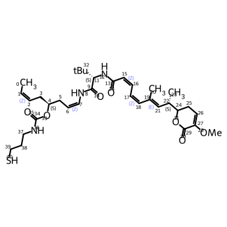 C/C=C\C[C@@H](C/C=C\NC(=O)[C@@H](NC(=O)\C=C/C=C\C(C)=C\[C@H](C)C1CC=C(OC)C(=O)O1)C(C)(C)C)OC(=O)NCCCS